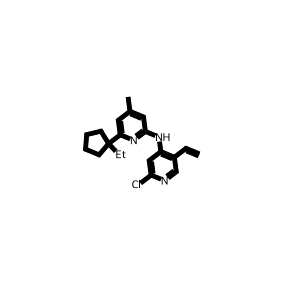 C=Cc1cnc(Cl)cc1Nc1cc(C)cc(C2(CC)CCCC2)n1